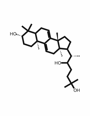 C[C@H](C(O)CCC(C)(C)O)C1CC[C@@]2(C)C3=CCC4C(C)(C)[C@@H](O)CC[C@]4(C)C3=CC[C@]12C